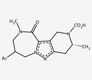 CC(=O)C1CN(C)C(=O)c2c3c(nn2C1)C[C@@H](C)N(C(=O)O)C3